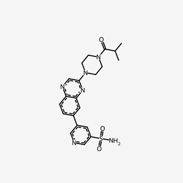 CC(C)C(=O)N1CCN(c2cnc3ccc(-c4cncc(S(N)(=O)=O)c4)cc3n2)CC1